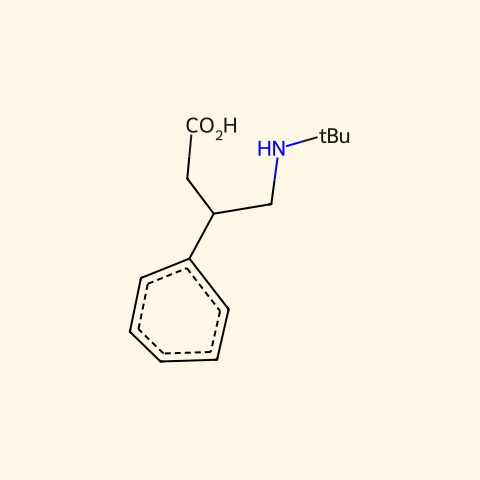 CC(C)(C)NCC(CC(=O)O)c1ccccc1